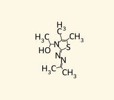 CC(C)=N/N=c1\sc(C)c(C)n1C(C)O